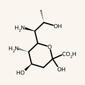 C[C@H](O)[C@H](N)C1OC(O)(C(=O)O)C[C@@H](O)[C@@H]1N